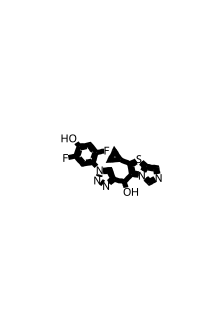 Oc1cc(F)c(-n2cc(C(O)c3c(C4CC4)sc4cncn34)nn2)cc1F